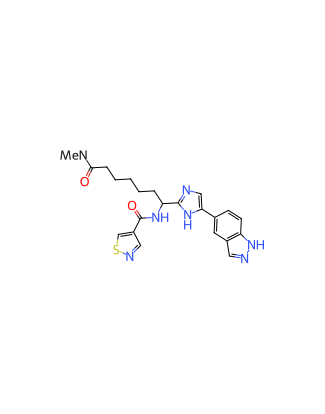 CNC(=O)CCCCCC(NC(=O)c1cnsc1)c1ncc(-c2ccc3[nH]ncc3c2)[nH]1